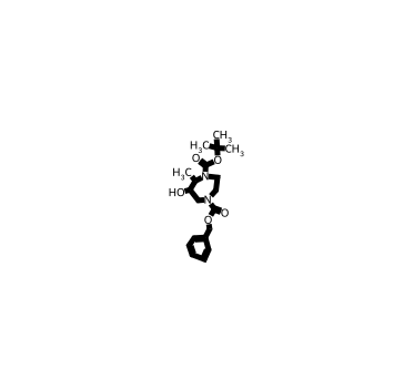 CC1C(O)CN(C(=O)OCc2ccccc2)CCN1C(=O)OC(C)(C)C